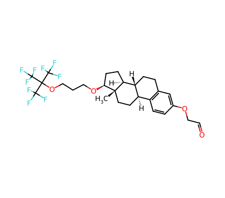 C[C@]12CC[C@@H]3c4ccc(OCC=O)cc4CC[C@H]3[C@@H]1CC[C@@H]2OCCCOC(C(F)(F)F)(C(F)(F)F)C(F)(F)F